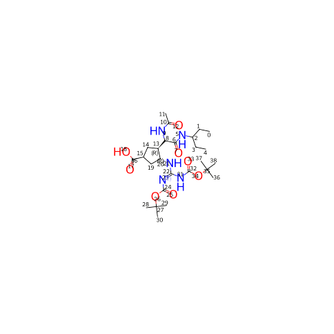 CCC(CC)NC(=O)C(NC(C)=O)[C@@H]1CC(C(=O)O)C[C@H]1N/C(=N/C(=O)OC(C)(C)C)NC(=O)OC(C)(C)C